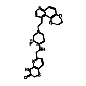 O=C1CSc2ccc(CN[C@@H]3CCN(CCc4ccnc5ccc6c(c45)OCCO6)C[C@H]3F)nc2N1